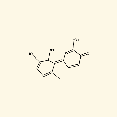 CC1=CC=C(O)C(C(C)(C)C)C1=C1C=CC(=O)C(C(C)(C)C)=C1